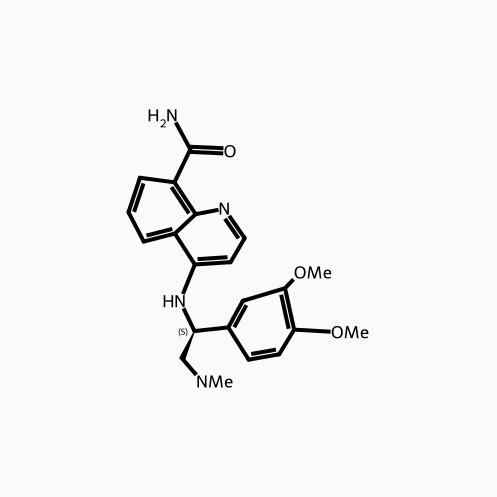 CNC[C@@H](Nc1ccnc2c(C(N)=O)cccc12)c1ccc(OC)c(OC)c1